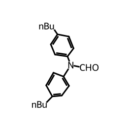 CCCCc1ccc(N(C=O)c2ccc(CCCC)cc2)cc1